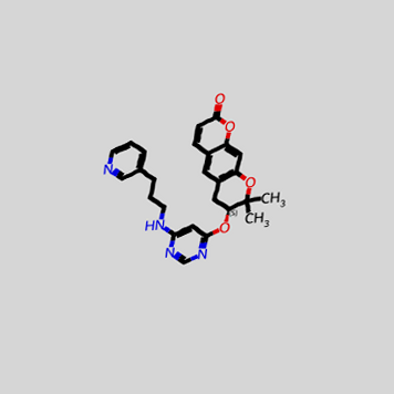 CC1(C)Oc2cc3oc(=O)ccc3cc2C[C@@H]1Oc1cc(NCCCc2cccnc2)ncn1